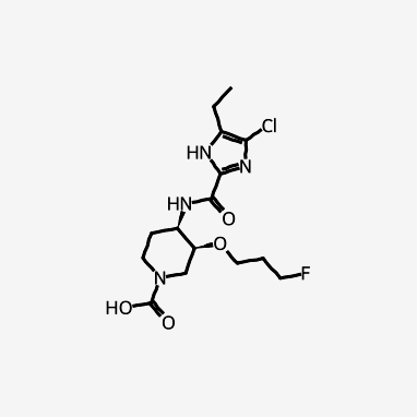 CCc1[nH]c(C(=O)N[C@@H]2CCN(C(=O)O)C[C@@H]2OCCCF)nc1Cl